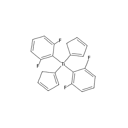 Fc1cccc(F)[c]1[Ti]([C]1=CC=CC1)([C]1=CC=CC1)[c]1c(F)cccc1F